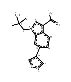 CC(C)C(=O)c1nn(CC(C)(C)O)c2cc(-c3cnoc3)ccc12